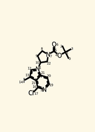 CC(C)(C)OC(=O)N1CCC(n2cc(I)c3c(Cl)nccc32)C1